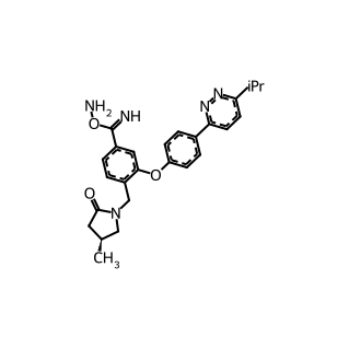 CC(C)c1ccc(-c2ccc(Oc3cc(C(=N)ON)ccc3CN3C[C@@H](C)CC3=O)cc2)nn1